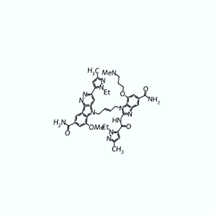 CCn1nc(C)cc1C(=O)Nc1nc2cc(C(N)=O)cc(OCCCNC)c2n1C/C=C/Cn1c2cc(-c3cc(C)nn3CC)nnc2c2cc(C(N)=O)cc(OC)c21